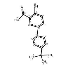 CC(C)(C)c1ccc(-c2ccc(S)c(C(=O)O)c2)cc1